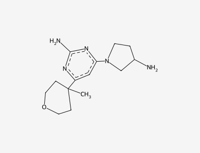 CC1(c2cc(N3CCC(N)C3)nc(N)n2)CCOCC1